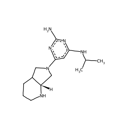 CC(C)Nc1cc(N2CC3CCCN[C@H]3C2)nc(N)n1